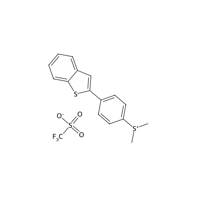 C[S+](C)c1ccc(-c2cc3ccccc3s2)cc1.O=S(=O)([O-])C(F)(F)F